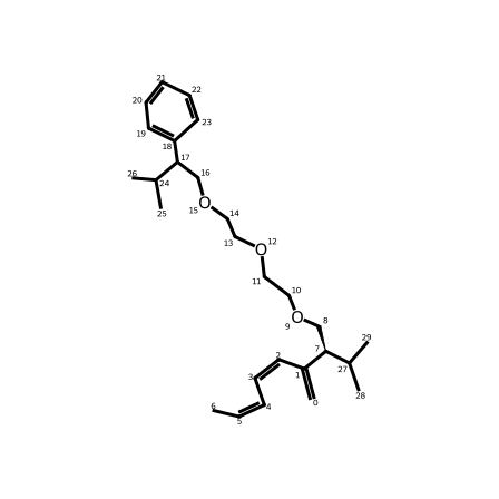 C=C(/C=C\C=C/C)[C@@H](COCCOCCOCC(c1ccccc1)C(C)C)C(C)C